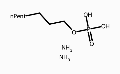 CCCCCCCCOP(=O)(O)O.N.N